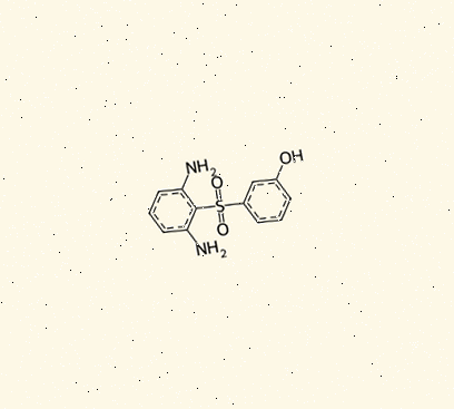 Nc1cccc(N)c1S(=O)(=O)c1cccc(O)c1